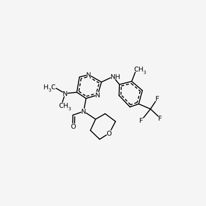 Cc1cc(C(F)(F)F)ccc1Nc1ncc(N(C)C)c(N(C=O)C2CCOCC2)n1